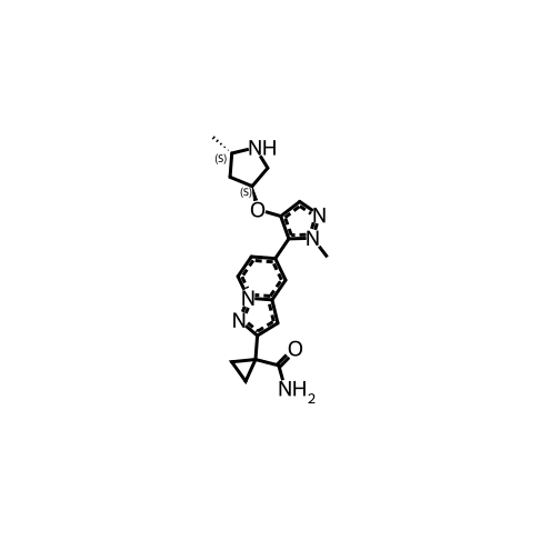 C[C@H]1C[C@H](Oc2cnn(C)c2-c2ccn3nc(C4(C(N)=O)CC4)cc3c2)CN1